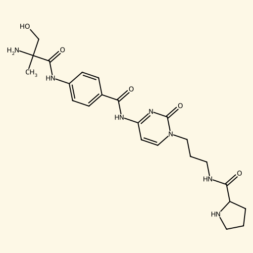 CC(N)(CO)C(=O)Nc1ccc(C(=O)Nc2ccn(CCCNC(=O)C3CCCN3)c(=O)n2)cc1